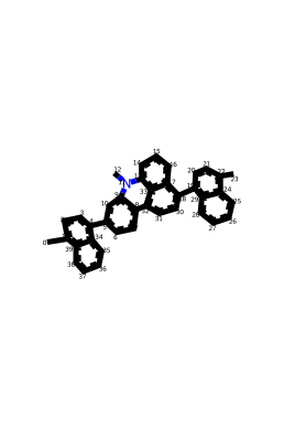 Cc1ccc(-c2ccc3c(c2)N(C)c2cccc4c(-c5ccc(C)c6ccccc56)ccc-3c24)c2ccccc12